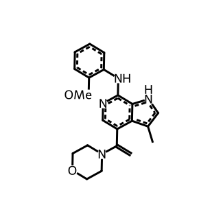 C=C(c1cnc(Nc2ccccc2OC)c2[nH]cc(C)c12)N1CCOCC1